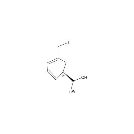 CCCC(O)[C@H]1C=CC=C(CI)C1